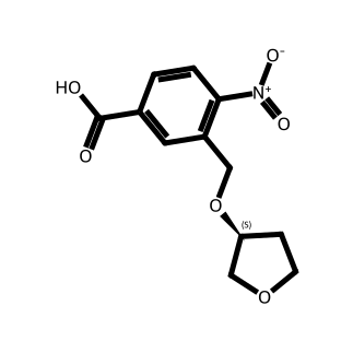 O=C(O)c1ccc([N+](=O)[O-])c(CO[C@H]2CCOC2)c1